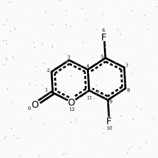 O=c1ccc2c(F)ccc(F)c2o1